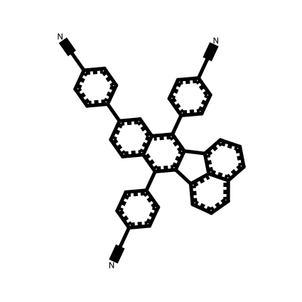 N#Cc1ccc(-c2ccc3c(-c4ccc(C#N)cc4)c4c(c(-c5ccc(C#N)cc5)c3c2)-c2cccc3cccc-4c23)cc1